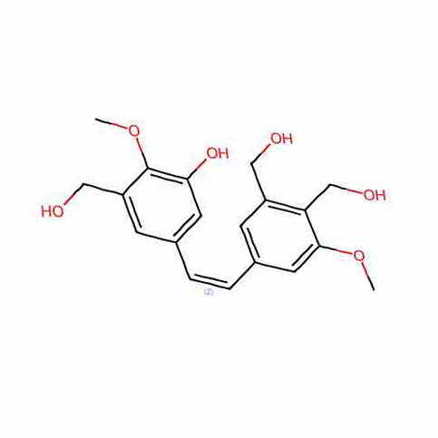 COc1cc(/C=C\c2cc(O)c(OC)c(CO)c2)cc(CO)c1CO